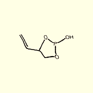 C=CC1COP(O)O1